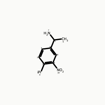 CC(C)c1ccc(C(C)N)cc1[N+](=O)[O-]